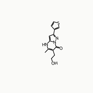 Cc1[nH]c2cc(-c3ccsc3)nn2c(=O)c1CCO